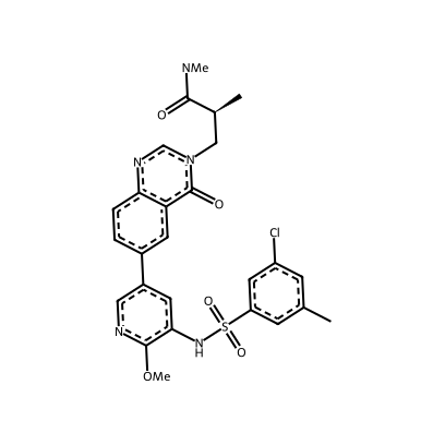 CNC(=O)[C@@H](C)Cn1cnc2ccc(-c3cnc(OC)c(NS(=O)(=O)c4cc(C)cc(Cl)c4)c3)cc2c1=O